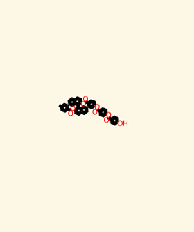 Cc1ccc(C(=O)Oc2ccc3ccccc3c2-c2c(OC(=O)c3ccc(OC(=O)c4ccc(OC(=O)c5ccc(O)cc5)cc4)cc3)ccc3ccccc23)cc1